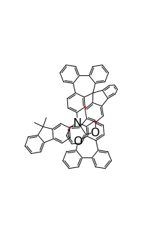 CC1(C)c2ccccc2-c2ccc(N(c3ccc4c(c3)C3(c5ccccc5-c5ccccc5-4)c4ccccc4-c4cc5oc6ccccc6c5cc43)c3cccc4c3Oc3ccccc3-c3ccccc3-4)cc21